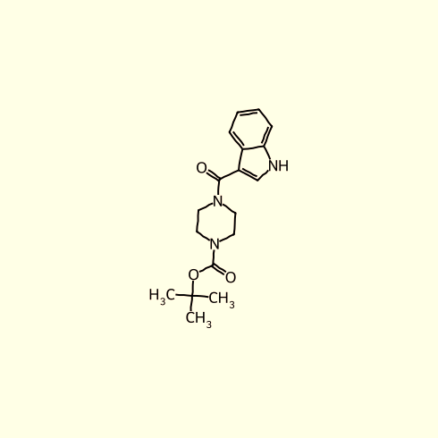 CC(C)(C)OC(=O)N1CCN(C(=O)c2c[nH]c3ccccc23)CC1